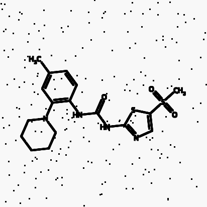 Cc1ccc(NC(=O)Nc2ncc(S(C)(=O)=O)s2)c(N2CCCCC2)c1